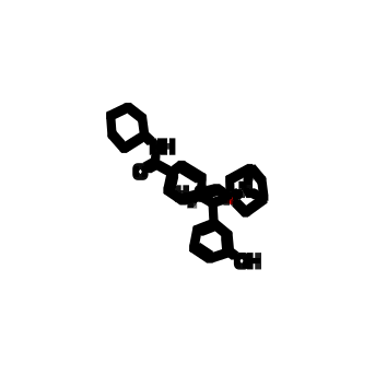 C=CCN1C2CC1CN(C(c1ccc(C(=O)NC3CCCCC3)cc1)c1cccc(O)c1)C2